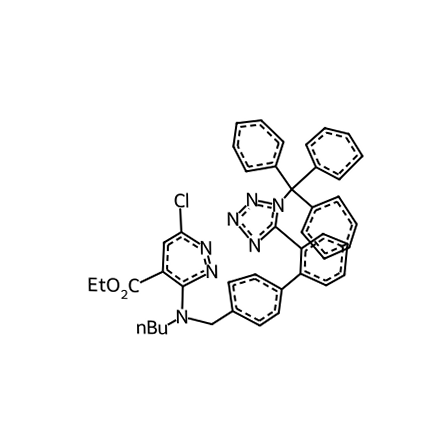 CCCCN(Cc1ccc(-c2ccccc2-c2nnnn2C(c2ccccc2)(c2ccccc2)c2ccccc2)cc1)c1nnc(Cl)cc1C(=O)OCC